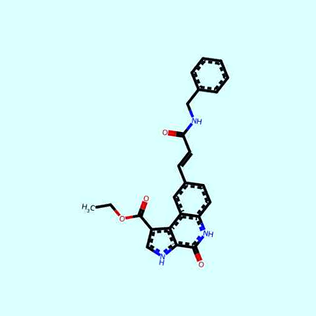 CCOC(=O)c1c[nH]c2c(=O)[nH]c3ccc(C=CC(=O)NCc4ccccc4)cc3c12